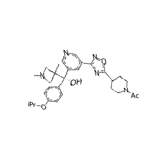 CC(=O)N1CCC(c2nc(-c3cncc([C@@](O)(c4ccc(OC(C)C)cc4)C4(C)CN(C)C4)c3)no2)CC1